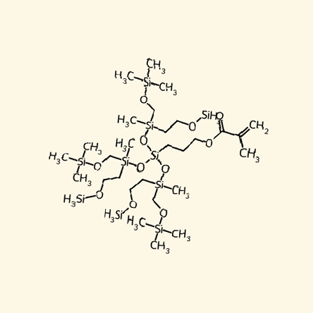 C=C(C)C(=O)OCCC[Si](O[Si](C)(CCO[SiH3])CO[Si](C)(C)C)(O[Si](C)(CCO[SiH3])CO[Si](C)(C)C)O[Si](C)(CCO[SiH3])CO[Si](C)(C)C